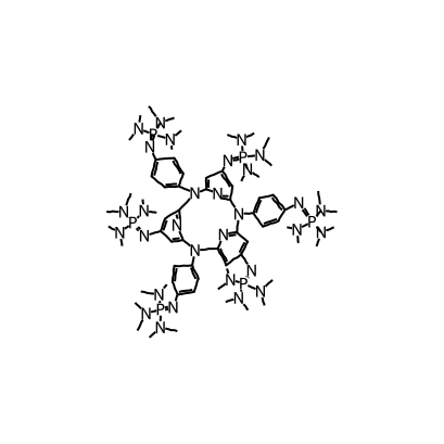 CN(C)P(=Nc1ccc(N2c3cc(N=P(N(C)C)(N(C)C)N(C)C)cc(n3)N(c3ccc(N=P(N(C)C)(N(C)C)N(C)C)cc3)c3cc(N=P(N(C)C)(N(C)C)N(C)C)cc(n3)N(c3ccc(N=P(N(C)C)(N(C)C)N(C)C)cc3)c3cc(N=P(N(C)C)(N(C)C)N(C)C)cc2n3)cc1)(N(C)C)N(C)C